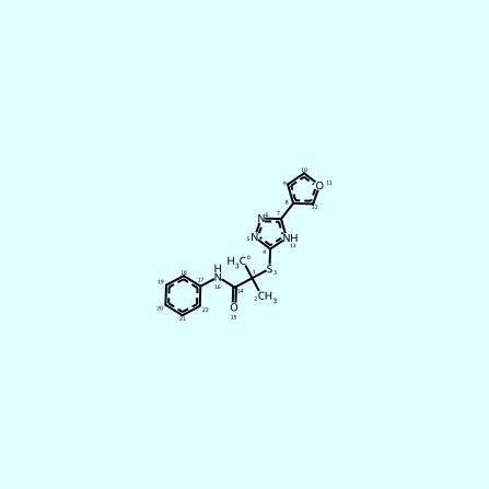 CC(C)(Sc1nnc(-c2ccoc2)[nH]1)C(=O)Nc1ccccc1